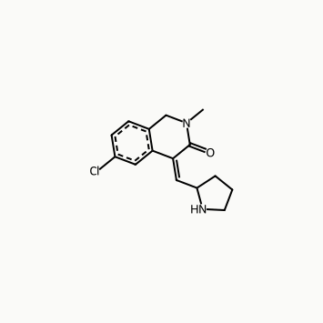 CN1Cc2ccc(Cl)cc2/C(=C/C2CCCN2)C1=O